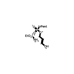 CCCCCS(=O)(=O)OCC=CO.CCOC(N)=O